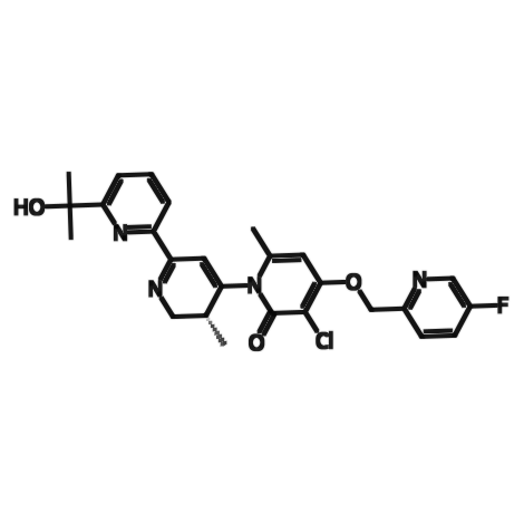 Cc1cc(OCc2ccc(F)cn2)c(Cl)c(=O)n1C1=CC(c2cccc(C(C)(C)O)n2)=NC[C@H]1C